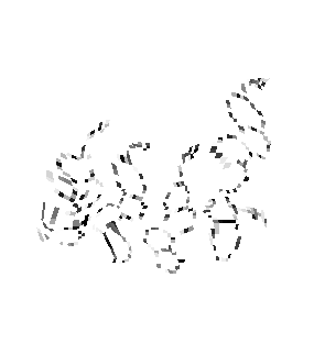 NC(=O)C1OC=CC=C1C=O.O=CC1CCC2C(CCC3C4CCCC4CCC23)C1.O=CC1CCC2C(CCC3C4CCCC4CCC23)C1.O=CC1CCC2C(CCC3C4CCCC4CCC23)C1.O=CC1CC[C@H]2C(CC[C@H]3[C@@H]4CCC[C@H]4CC[C@@H]32)C1